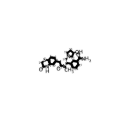 CN(C(=O)Cc1ccc2c(c1)NC(=O)CS2)[C@H](CN1CC[C@@H](O)C1)c1cccc(C(N)=O)c1